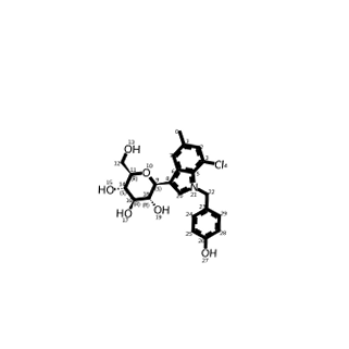 Cc1cc(Cl)c2c(c1)c([C@@H]1O[C@H](CO)[C@@H](O)[C@H](O)[C@H]1O)cn2Cc1ccc(O)cc1